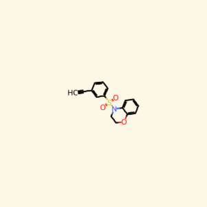 C#Cc1cccc(S(=O)(=O)N2CCOc3ccccc32)c1